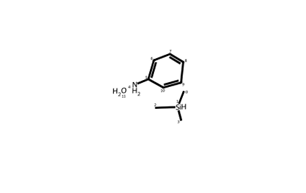 C[SiH](C)C.Nc1ccccc1.O